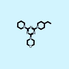 CCC1CCN(c2nc(N3CCCCC3)nc(N3CCOCC3)n2)CC1